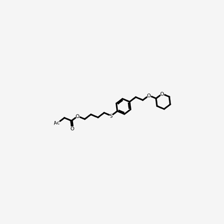 CC(=O)CC(=O)OCCCCSc1ccc(CCOC2CCCCO2)cc1